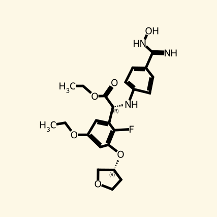 CCOC(=O)[C@H](Nc1ccc(C(=N)NO)cc1)c1cc(OCC)cc(O[C@@H]2CCOC2)c1F